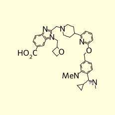 C/N=C(/c1ccc(COc2cccc(C3CCN(Cc4nc5ccc(C(=O)O)cc5n4CC4CCO4)CC3)n2)cc1NC)C1CC1